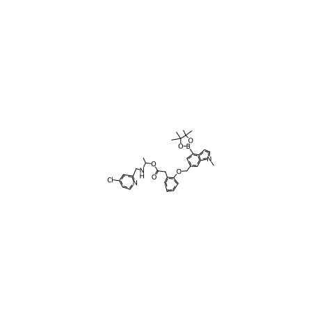 CC(NCc1cc(Cl)ccn1)OC(=O)Cc1ccccc1OCc1cc(B2OC(C)(C)C(C)(C)O2)c2ccn(C)c2c1